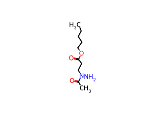 CCCCCOC(=O)CCN(N)C(C)=O